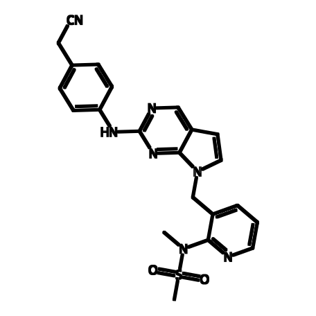 CN(c1ncccc1Cn1ccc2cnc(Nc3ccc(CC#N)cc3)nc21)S(C)(=O)=O